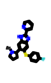 CC(=O)N1CCCC1c1cc2[nH]c(-c3ccccn3)nc2cc1Sc1ccc(F)cc1